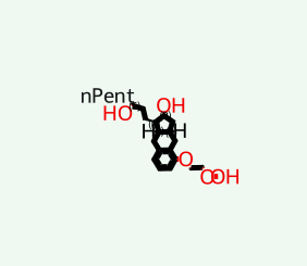 CCCCC[C@H](O)CC[C@@H]1[C@H]2Cc3cccc(OCCOO)c3C[C@H]2C[C@H]1O